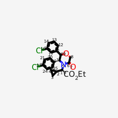 CCOC(=O)[C@@H](C1CC1)N1C(=O)COC(c2cccc(Cl)c2)[C@H]1c1ccc(Cl)cc1